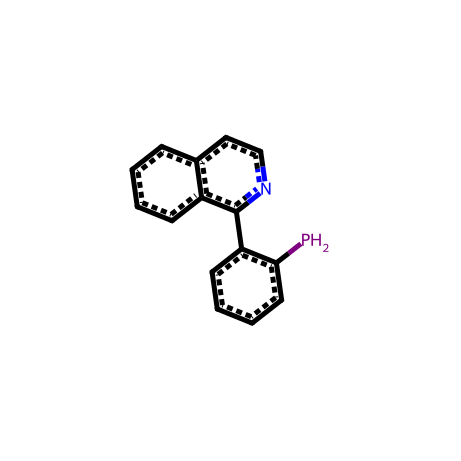 Pc1ccccc1-c1nccc2ccccc12